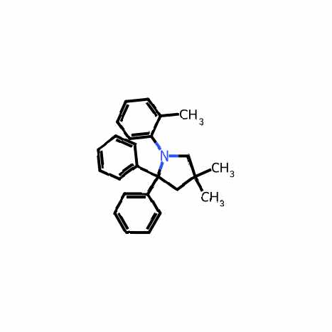 Cc1ccccc1N1CC(C)(C)CC1(c1ccccc1)c1ccccc1